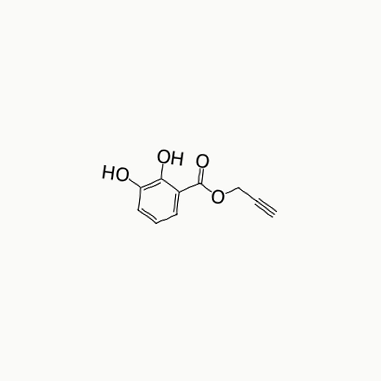 C#CCOC(=O)c1cccc(O)c1O